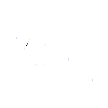 COc1c(N2CC3=CCCN[C@H]3C2)c(F)cn2c(=O)c(C(=O)O)cc(C3CC3)c12